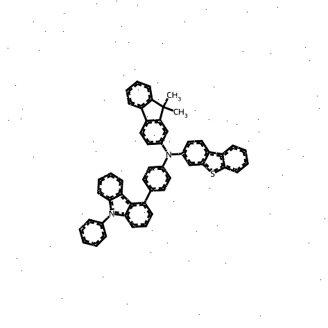 CC1(C)c2ccccc2-c2ccc(N(c3ccc(-c4cccc5c4c4ccccc4n5-c4ccccc4)cc3)c3ccc4c(c3)sc3ccccc34)cc21